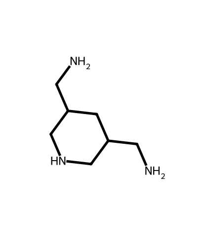 NCC1CNCC(CN)C1